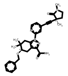 CN1CC[C@@](C)(C#Cc2ccnc(-n3nc(C(N)=O)c4c3CC(C)(C)[C@H](OCc3ccccc3)C4)c2)C1=O